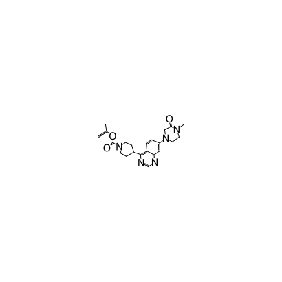 C=C(C)OC(=O)N1CCC(c2ncnc3cc(N4CCN(C)C(=O)C4)ccc23)CC1